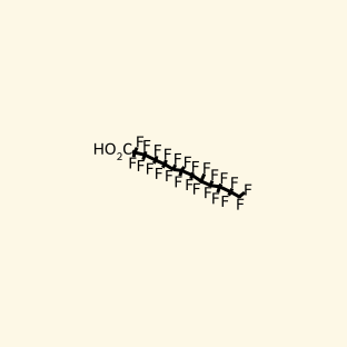 O=C(O)C(F)(F)C(F)(F)C(F)(F)C(F)(F)C(F)(F)C(F)(F)C(F)(F)C(F)(F)C(F)(F)C(F)(F)C(F)(F)C(F)F